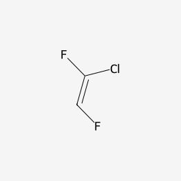 F/C=C(/F)Cl